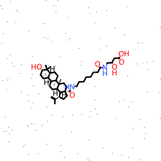 C=C(C)[C@@H]1CC[C@]2(C(=O)NCCCCCCCC(=O)NC[C@H](O)CC(=O)O)CC[C@]3(C)[C@H](CC[C@H]4[C@@]5(C)CC[C@H](O)C(C)(C)[C@@H]5CC[C@]43C)[C@@H]12